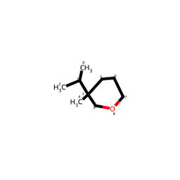 CC(C)C1(C)CCCOC1